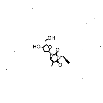 C#CCn1c(=O)c(C)cn([C@H]2C[C@H](O)[C@@H](CO)O2)c1=O